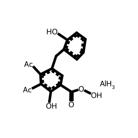 CC(=O)c1c(Cc2ccccc2O)cc(C(=O)OO)c(O)c1C(C)=O.[AlH3]